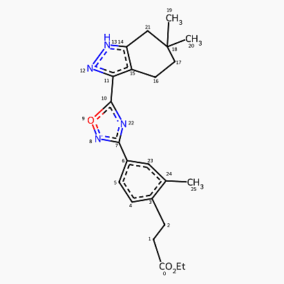 CCOC(=O)CCc1ccc(-c2noc(-c3n[nH]c4c3CCC(C)(C)C4)n2)cc1C